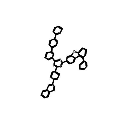 c1ccc(-c2ccc(-c3cccc(-c4nc(-c5ccc(-c6ccc7ccccc7c6)cc5)nc(-c5ccc6c(c5)oc5cccc(-c7ccccc7)c56)n4)c3)cc2)cc1